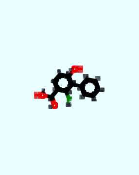 O=C(O)c1ccc(O)c(-c2ccccc2)c1F